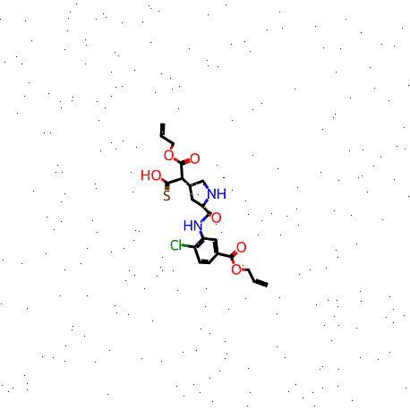 C=CCOC(=O)c1ccc(Cl)c(NC(=O)C2CC(C(C(=O)OCC=C)C(O)=S)CN2)c1